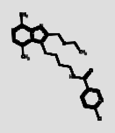 CCOCc1nc2c(N)ncc(C)c2n1CCCCNC(=O)c1ccc(Cl)nc1